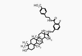 CCCC1(C(=O)NCc2ccc(F)c(C(=O)NCCc3ccc(C(=O)O)cc3)c2)CC[C@]2(C)C(CCC3C4(C)CCC(O)C(C)(C)C4CCC32C)C1C